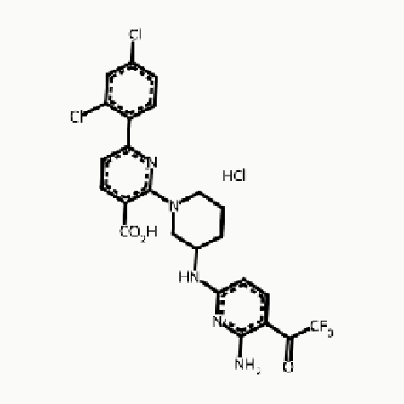 Cl.Nc1nc(NC2CCCN(c3nc(-c4ccc(Cl)cc4Cl)ccc3C(=O)O)C2)ccc1C(=O)C(F)(F)F